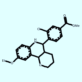 CCOc1ccc2c(c1)C1OCCCC1C(c1ccc(C(=O)OC)cc1Cl)N2